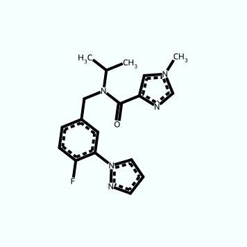 CC(C)N(Cc1ccc(F)c(-n2cccn2)c1)C(=O)c1cn(C)cn1